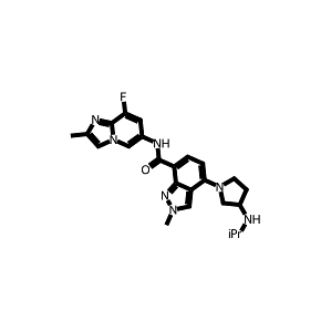 Cc1cn2cc(NC(=O)c3ccc(N4CCC(NC(C)C)C4)c4cn(C)nc34)cc(F)c2n1